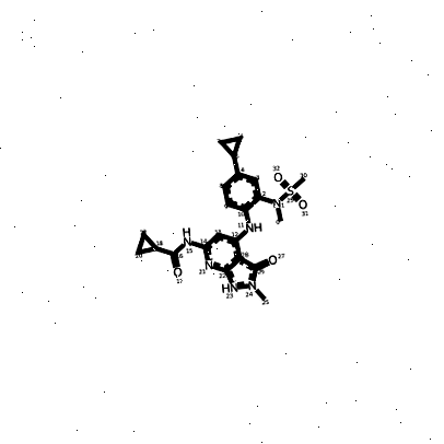 CN(c1cc(C2CC2)ccc1Nc1cc(NC(=O)C2CC2)nc2[nH]n(C)c(=O)c12)S(C)(=O)=O